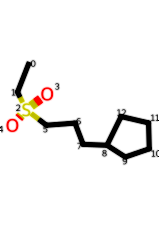 CCS(=O)(=O)CCCC1CCCC1